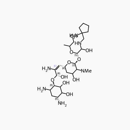 CNC1C(O)C[C@H](/C=C(/N)[C@H](O)O[C@@H]2C(N)C[C@@H](N)C(O)C2O)O[C@H]1O[C@H](OC(C)CO)C(O)NCC1(N)CCCC1